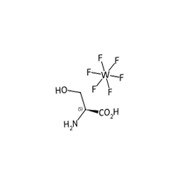 N[C@@H](CO)C(=O)O.[F][W]([F])([F])([F])([F])[F]